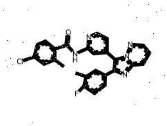 Cc1cc(-c2nc3cccnn3c2-c2ccnc(NC(=O)c3ccc(Cl)cc3C)c2)ccc1F